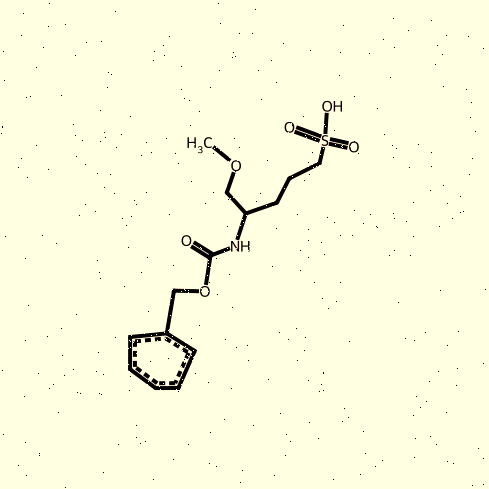 COCC(CCCS(=O)(=O)O)NC(=O)OCc1ccccc1